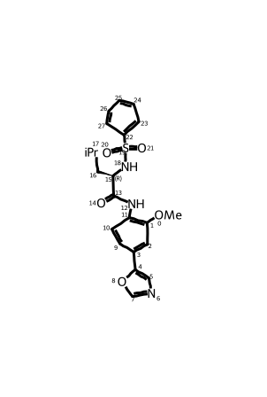 COc1cc(-c2cnco2)ccc1NC(=O)[C@@H](CC(C)C)NS(=O)(=O)c1ccccc1